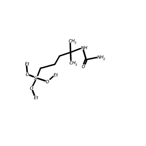 CCO[Si](CCCC(C)(C)NC(N)=O)(OCC)OCC